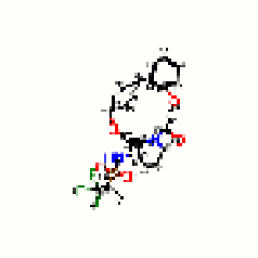 C[C@H](C(F)(F)F)S(=O)(=O)N[C@H]1CCCN2C(=O)COc3ccccc3C3CCC(CC3)OC[C@@H]12